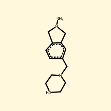 NN1Cc2ccc(CN3CCNCC3)cc2C1